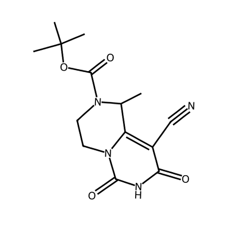 CC1c2c(C#N)c(=O)[nH]c(=O)n2CCN1C(=O)OC(C)(C)C